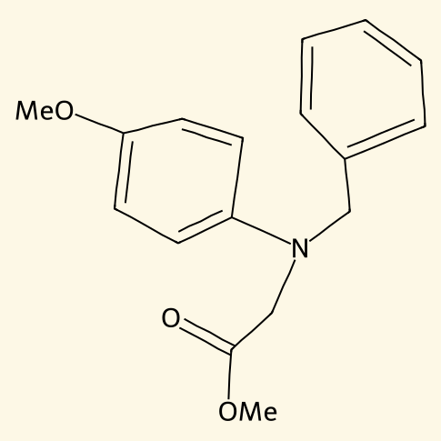 COC(=O)CN(Cc1ccccc1)c1ccc(OC)cc1